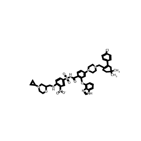 CC1(C)CCC(CN2CCN(c3ccc(C(=O)NS(=O)(=O)c4ccc(NCC5CN(C6CC6)CCO5)c([N+](=O)[O-])c4)c(Oc4cccc5[nH]cnc45)c3)CC2)=C(c2ccc(Cl)cc2)C1